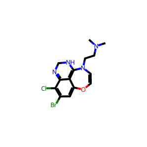 CN(C)CCN1C=COc2cc(Br)c(Cl)c3c2=C1NCN=3